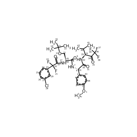 COc1ccc([C@H](NC(=O)[C@H](COC(C)(C)C)NC(=O)C(F)(F)c2cccc(Cl)c2)C(=O)N[C@H](C(=O)C(F)(F)F)C(C)C)cc1